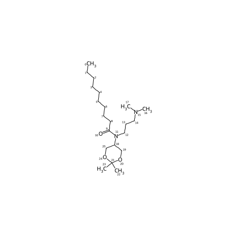 CCCCCCCCCC(=O)N(CCCN(C)C)C1COC(C)(C)OC1